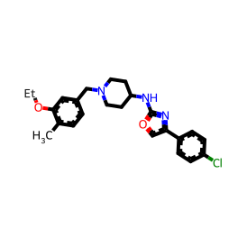 CCOc1cc(CN2CCC(Nc3nc(-c4ccc(Cl)cc4)co3)CC2)ccc1C